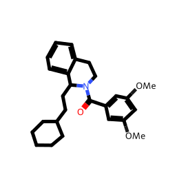 COc1cc(OC)cc(C(=O)N2CCc3ccccc3C2CCC2CCCCC2)c1